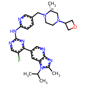 Cc1nc2ncc(-c3nc(Nc4ccc(CN5CCN(C6COC6)C[C@H]5C)cn4)ncc3F)cc2n1C(C)C